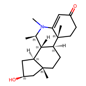 C[C@@H]1[C@H]2[C@@H]3C[C@H](O)C[C@@]3(C)CC[C@@H]2[C@@]2(C)CCC(=O)C=C2N1C